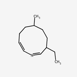 CCC1/C=N\C=C/CCC(C)CC1